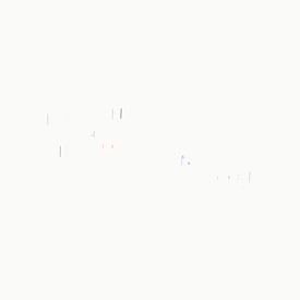 CC(C)(C)[Si](C)(C)Oc1cccc2c1ccn2CC(=O)O